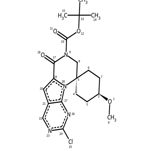 CO[C@H]1CC[C@@]2(CC1)CN(C(=O)OC(C)(C)C)C(=O)c1cc3cnc(Cl)nc3n12